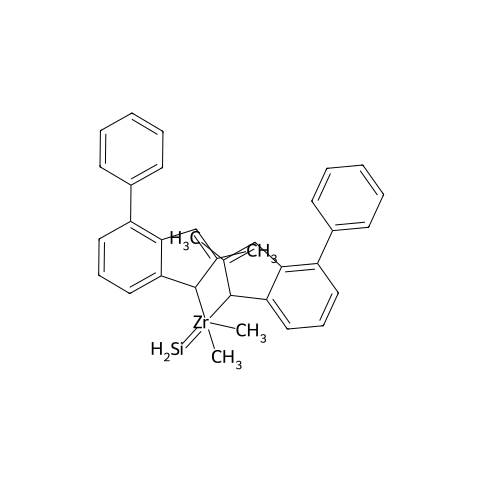 CC1=Cc2c(-c3ccccc3)cccc2[CH]1[Zr]([CH3])([CH3])(=[SiH2])[CH]1C(C)=Cc2c(-c3ccccc3)cccc21